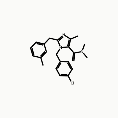 C=C(c1c(C)nc(Cc2cccc(C)c2)n1Cc1ccc(Cl)cc1)N(C)C